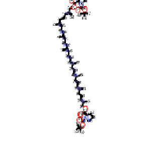 CC(/C=C/C=C(C)/C=C/C=C(\C)CC/C=C(\C)COC(=O)C1CCCN1C(=O)OC(C)(C)C)=C\C=C\C=C(C)\C=C\C=C(C)\C=C\C=C(/C)CC/C=C(\C)COC(=O)C1CCCN1C(=O)OC(C)(C)C